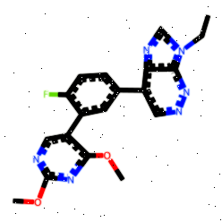 CCn1cnc2c(-c3ccc(F)c(-c4cnc(OC)nc4OC)c3)cnnc21